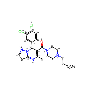 COCCN1CCN(C(=O)C2=C(C)N=C3CC=NN3C2c2ccc(Cl)c(Cl)c2)CC1